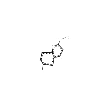 CC(C)(C)Nc1ccc2cc(O)ccc2n1